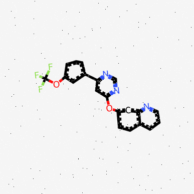 FC(F)(F)Oc1cccc(-c2cc(Oc3ccc4cccnc4c3)ncn2)c1